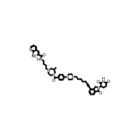 CC1CN(CCCCNC(=O)/C(C#N)=C/c2cccnc2F)CCN(C(=O)c2ccc(N3CCN(CCCCCC#Cc4cccc5c4CN(C4CCC(=O)NC4=O)C5=O)CC3)cc2)C1